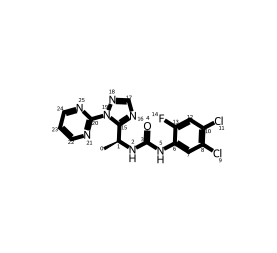 C[C@H](NC(=O)Nc1cc(Cl)c(Cl)cc1F)c1ncnn1-c1ncccn1